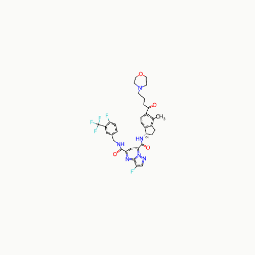 Cc1c(C(=O)CCCN2CCOCC2)ccc2c1CC[C@@H]2NC(=O)c1cc(C(=O)NCc2ccc(F)c(C(F)(F)F)c2)nc2c(F)cnn12